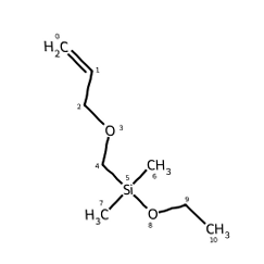 C=CCOC[Si](C)(C)OCC